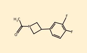 CC(=O)N1CC(c2ccc(F)c(F)c2)C1